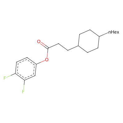 CCCCCCC1CCC(CCC(=O)Oc2ccc(F)c(F)c2)CC1